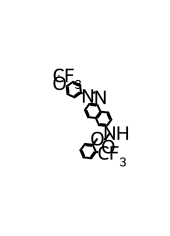 O=C(Nc1ccc2c(ccc3c2ncn3-c2ccc(OC(F)(F)F)cc2)c1)Oc1ccccc1C(F)(F)F